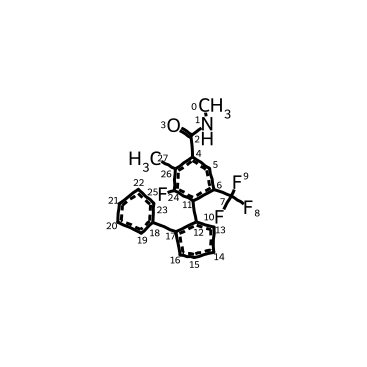 CNC(=O)c1cc(C(F)(F)F)c(-c2ccccc2-c2ccccc2)c(F)c1C